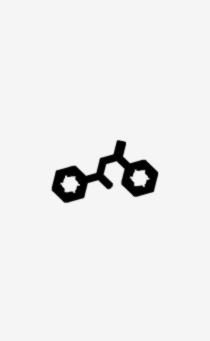 C=C(CC(C)c1ccccc1)c1ccccc1